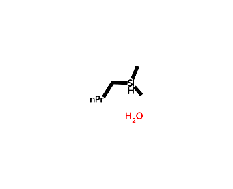 CCCC[SiH](C)C.O